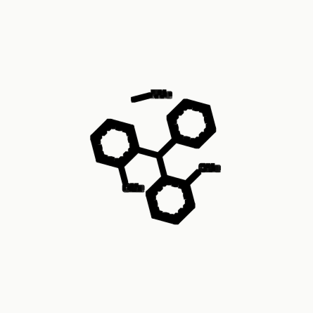 CNC.COc1ccccc1C(c1ccccc1)c1ccccc1OC